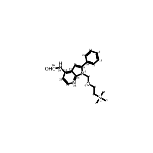 C[Si](C)(C)CCOCn1c(-c2ccccc2)cc2c(NC=O)ccnc21